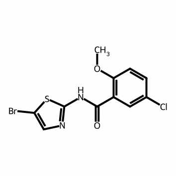 COc1ccc(Cl)cc1C(=O)Nc1ncc(Br)s1